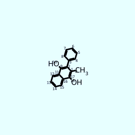 Cc1c(-c2ccccc2)c(O)c2ccccc2c1O